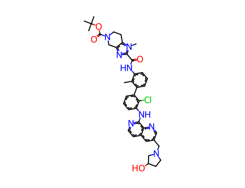 Cc1c(NC(=O)c2nc3c(n2C)CCN(C(=O)OC(C)(C)C)C3)cccc1-c1cccc(Nc2nccc3cc(CN4CCC(O)C4)cnc23)c1Cl